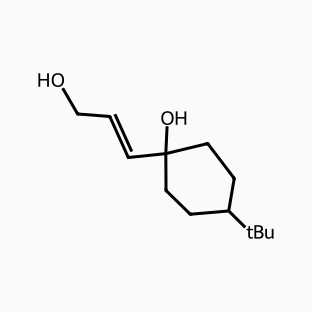 CC(C)(C)C1CCC(O)(C=CCO)CC1